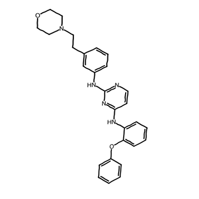 c1ccc(Oc2ccccc2Nc2ccnc(Nc3cccc(CCN4CCOCC4)c3)n2)cc1